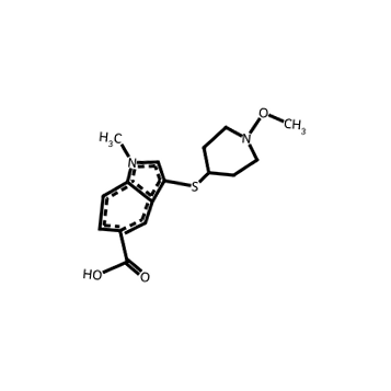 CON1CCC(Sc2cn(C)c3ccc(C(=O)O)cc23)CC1